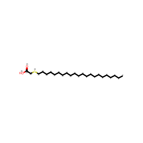 CCCCCCCCCCCCCCCCCCCCCCSCC(=O)O